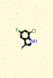 Fc1cc(Cl)c2[nH]cc(I)c2c1